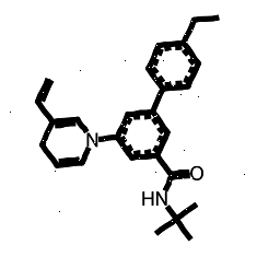 C=CC1=CN(c2cc(C(=O)NC(C)(C)C)cc(-c3ccc(CC)cc3)c2)C=CC1